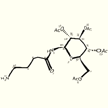 CC(=O)OC[C@H]1O[C@@H](NC(=O)CCCN)[C@H](OC(C)=O)[C@@H](OC(C)=O)[C@@H]1OC(C)=O